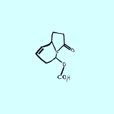 O=C(O)OC1CC=CC2CCC(=O)N21